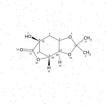 CC1(C)OC2C[C@]3(O)C[C@@H](OC3=O)[C@@H]2O1